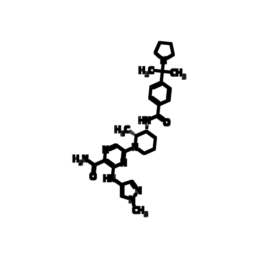 C[C@@H]1[C@H](NC(=O)c2ccc(C(C)(C)N3CCCC3)cc2)CCCN1c1cnc(C(N)=O)c(Nc2cnn(C)c2)n1